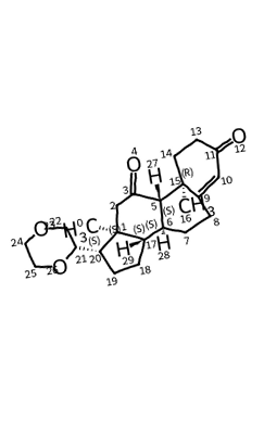 C[C@]12CC(=O)[C@H]3[C@@H](CCC4=CC(=O)CC[C@@]43C)[C@@H]1CC[C@@H]2C1COCCO1